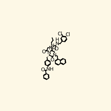 CCCN(C(=O)NCc1ccc(Cl)c(Cl)c1)N1CC(=O)N2[C@@H](Cc3ccc(NC(=O)c4ccccc4)cc3)C(=O)N(Cc3cccc4ccccc34)C[C@@H]21